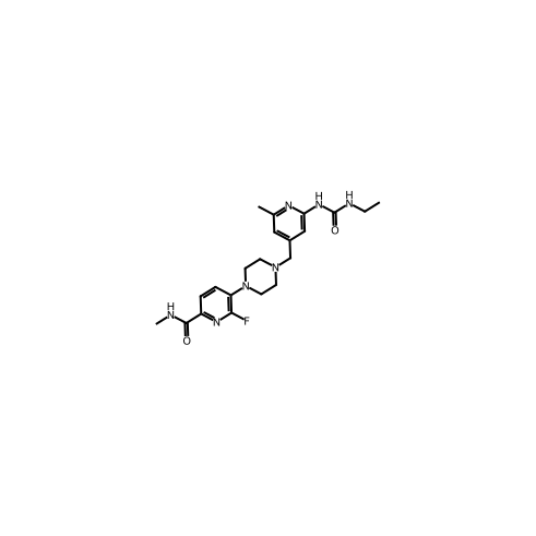 CCNC(=O)Nc1cc(CN2CCN(c3ccc(C(=O)NC)nc3F)CC2)cc(C)n1